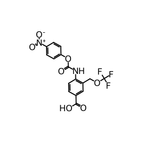 O=C(Nc1ccc(C(=O)O)cc1COC(F)(F)F)Oc1ccc([N+](=O)[O-])cc1